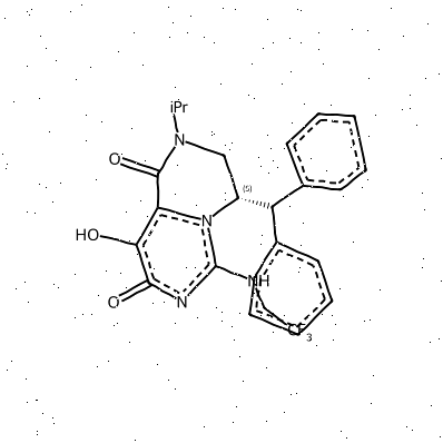 CC(C)N1C[C@H](C(c2ccccc2)c2ccccc2)n2c(NCC(F)(F)F)nc(=O)c(O)c2C1=O